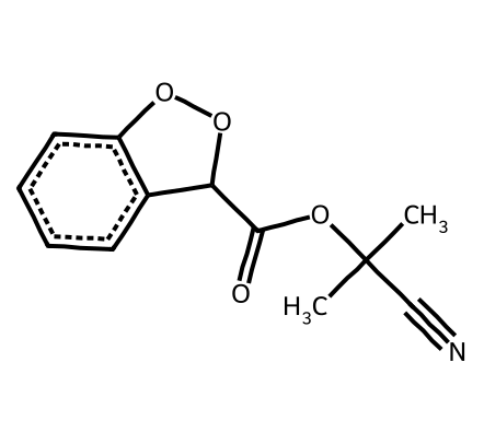 CC(C)(C#N)OC(=O)C1OOc2ccccc21